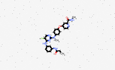 C=CC(=O)Nc1cccc(Nc2nc(N(C)c3ccc(Oc4ccnc(C(=O)NC)c4)cc3)ncc2F)c1